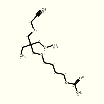 C#CCOCC(CC)(COC)COCCCCOC(C)=O